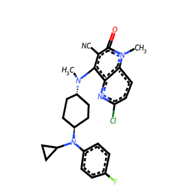 Cn1c(=O)c(C#N)c(N(C)[C@H]2CC[C@H](N(c3ccc(F)cc3)C3CC3)CC2)c2nc(Cl)ccc21